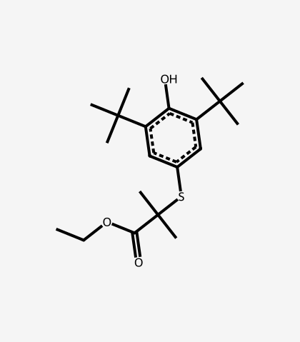 CCOC(=O)C(C)(C)Sc1cc(C(C)(C)C)c(O)c(C(C)(C)C)c1